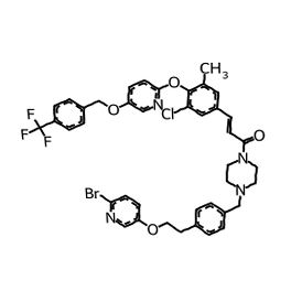 Cc1cc(C=CC(=O)N2CCN(Cc3ccc(CCOc4ccc(Br)nc4)cc3)CC2)cc(Cl)c1Oc1ccc(OCc2ccc(C(F)(F)F)cc2)cn1